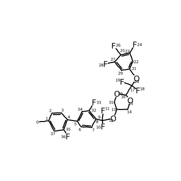 Cc1ccc(-c2ccc(C(F)(F)OC3COC(C(F)(F)Oc4cc(F)c(F)c(F)c4)OC3)c(F)c2)c(F)c1